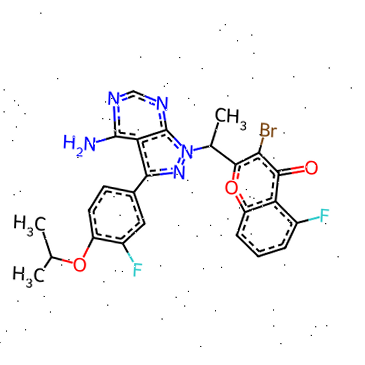 CC(C)Oc1ccc(-c2nn(C(C)c3oc4cccc(F)c4c(=O)c3Br)c3ncnc(N)c23)cc1F